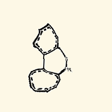 c1ccc2c(c1)PSc1ccccc1-2